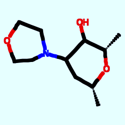 C[C@@H]1CC(N2CCOCC2)C(O)[C@H](C)O1